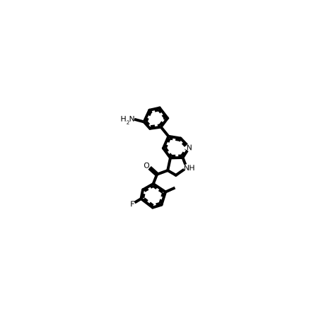 Cc1ccc(F)cc1C(=O)C1CNc2ncc(-c3cccc(N)c3)cc21